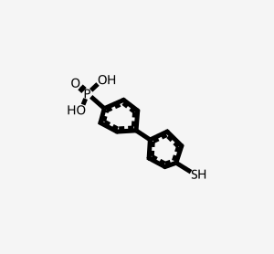 O=P(O)(O)c1ccc(-c2ccc(S)cc2)cc1